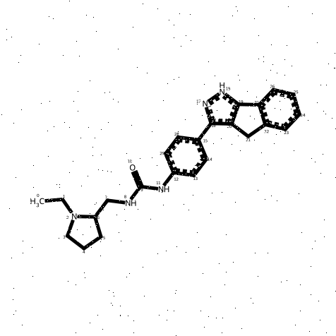 CCN1CCCC1CNC(=O)Nc1ccc(-c2n[nH]c3c2Cc2ccccc2-3)cc1